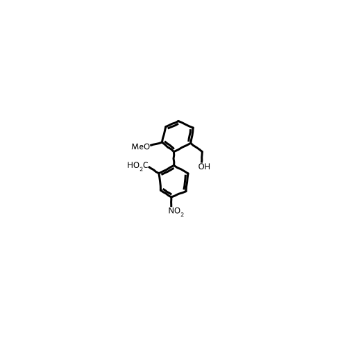 COc1cccc(CO)c1-c1ccc([N+](=O)[O-])cc1C(=O)O